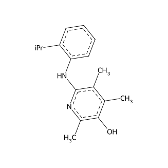 Cc1nc(Nc2ccccc2C(C)C)c(C)c(C)c1O